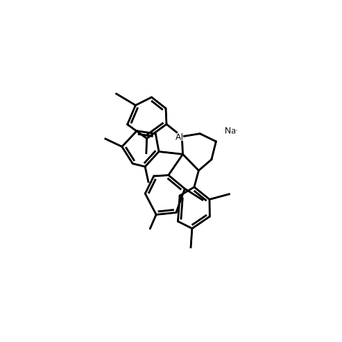 Cc1ccc(C2CC[CH2][Al]([c]3ccc(C)cc3C)[C]2(c2ccc(C)cc2C)c2ccc(C)cc2C)c(C)c1.[Na]